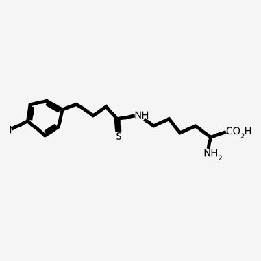 NC(CCCCNC(=S)CCCc1ccc(I)cc1)C(=O)O